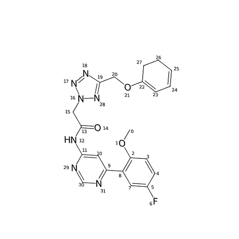 COc1ccc(F)cc1-c1cc(NC(=O)Cn2nnc(COC3=CC=CCC3)n2)ncn1